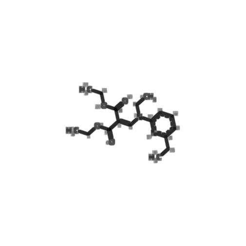 CCOC(=O)C(=CN(CC)c1cccc(CC)n1)C(=O)OCC